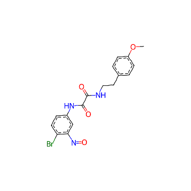 COc1ccc(CCNC(=O)C(=O)Nc2ccc(Br)c(N=O)c2)cc1